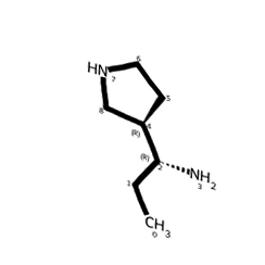 CC[C@@H](N)[C@@H]1CCNC1